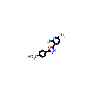 Cc1ccc(-c2nnc(-c3ccc(C(=O)O)cc3)o2)c(Cl)n1